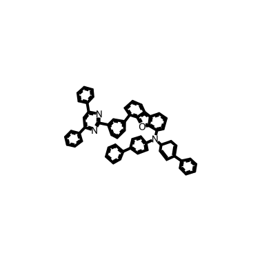 C1=CC(N(c2ccc(-c3ccccc3)cc2)c2cccc3c2oc2c(-c4cccc(-c5nc(-c6ccccc6)cc(-c6ccccc6)n5)c4)cccc23)CC=C1c1ccccc1